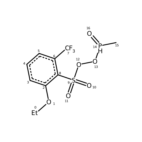 CCOc1cccc(C(F)(F)F)c1S(=O)(=O)OO[PH](C)=O